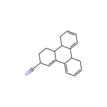 N#CC1C=C2C3=CC=CCC3C3=CC=CCC3C2CC1